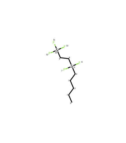 CCCCC[Si](F)(F)CC[Si](F)(F)F